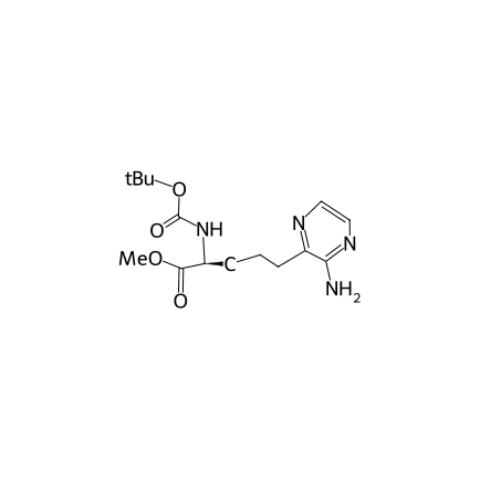 COC(=O)[C@H](CCCc1nccnc1N)NC(=O)OC(C)(C)C